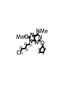 CNc1nc(OC2CCCC2)nc2c1nc(OC)n2CCCCCl